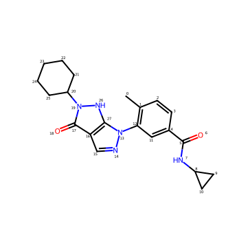 Cc1ccc(C(=O)NC2CC2)cc1-n1ncc2c(=O)n(C3CCCCC3)[nH]c21